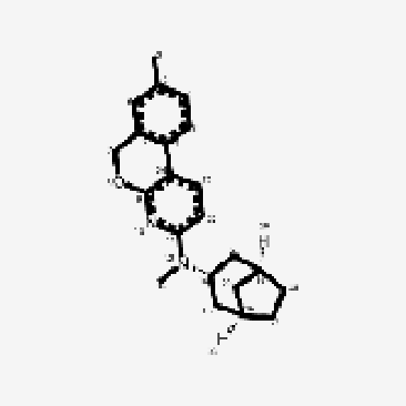 Cc1ccc2c(c1)COc1nc(N(C)[C@H]3C[C@@H]4CC[C@@H](C4)C3)ccc1-2